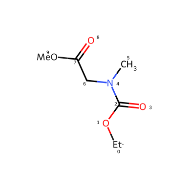 C[CH]OC(=O)N(C)CC(=O)OC